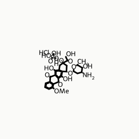 COc1cccc2c1C(=O)c1c(O)c3c(c(O)c1C2=O)C[C@@](O)(C(=O)CO)C[C@@H]3O[C@H]1C[C@H](N)[C@H](O)[C@H](C)O1.Cl.O=P(O)(O)O